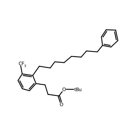 CC(C)(C)OC(=O)CCc1cccc(C(F)(F)F)c1CCCCCCCCc1ccccc1